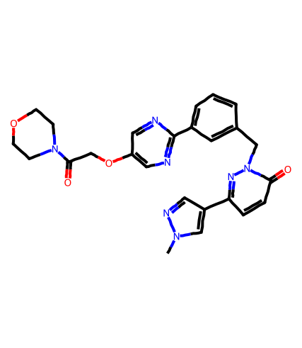 Cn1cc(-c2ccc(=O)n(Cc3cccc(-c4ncc(OCC(=O)N5CCOCC5)cn4)c3)n2)cn1